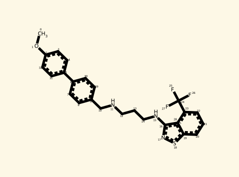 COc1ccc(-c2ccc(CNCCCNc3nsc4cccc(C(F)(F)F)c34)cc2)cc1